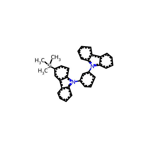 C[Si](C)(C)c1ccc2c(c1)c1ccccc1n2-c1cccc(-n2c3ccccc3c3ccccc32)c1